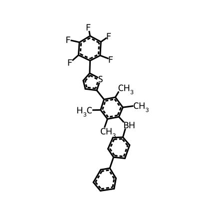 Cc1c(C)c(-c2ccc(-c3c(F)c(F)c(F)c(F)c3F)s2)c(C)c(C)c1Bc1ccc(-c2ccccc2)cc1